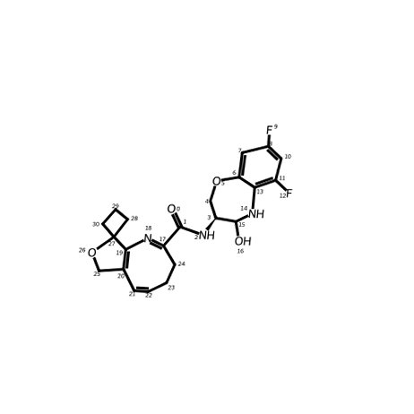 O=C(N[C@H]1COc2cc(F)cc(F)c2NC1O)/C1=N/C2=C(/C=C\CC1)COC21CCC1